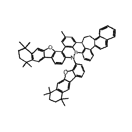 Cc1cc2c3c(c1)C1CCc4c(ccc5ccccc45)-c4cccc(c41)B3N(c1cccc3c1oc1cc4c(cc13)C(C)(C)CCC4(C)C)c1ccc3c(oc4cc5c(cc43)C(C)(C)CCC5(C)C)c1-2